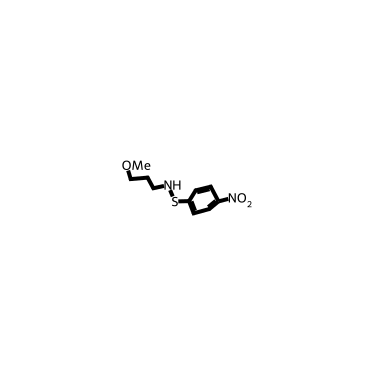 COCCCNSc1ccc([N+](=O)[O-])cc1